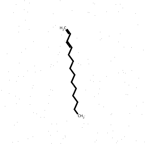 [CH2]CCCCCCCCCC=CC=C